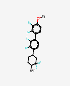 CCCC1CCC(c2ccc(-c3ccc(OCC)c(F)c3F)c(F)c2F)CC1(F)F